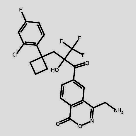 NCc1noc(=O)c2ccc(C(=O)C(O)(CC3(c4ccc(F)cc4Cl)CCC3)C(F)(F)F)cc12